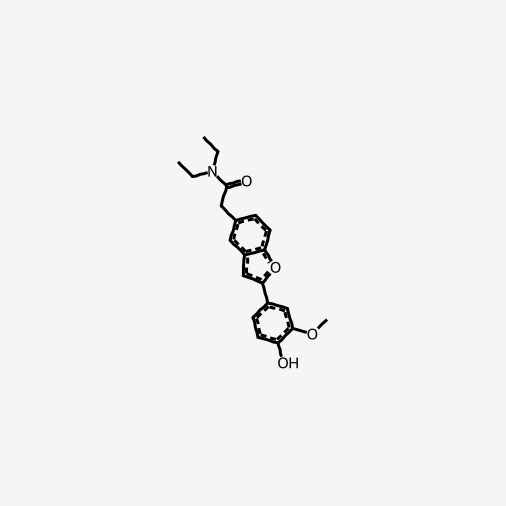 CCN(CC)C(=O)Cc1ccc2oc(-c3ccc(O)c(OC)c3)cc2c1